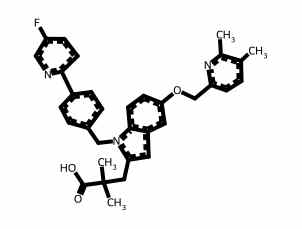 Cc1ccc(COc2ccc3c(c2)cc(CC(C)(C)C(=O)O)n3Cc2ccc(-c3ccc(F)cn3)cc2)nc1C